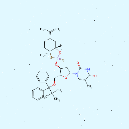 C=C(C)[C@@H]1CC[C@]2(C)SP(=S)(O[C@H]3C[C@H](n4cc(C)c(=O)[nH]c4=O)O[C@@H]3CO[Si](c3ccccc3)(c3ccccc3)C(C)(C)C)O[C@H]2C1